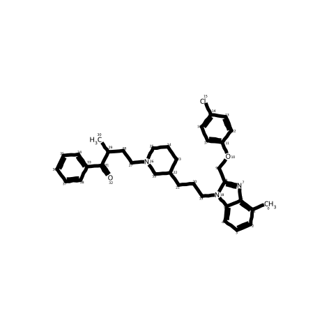 Cc1cccc2c1nc(COc1ccc(Cl)cc1)n2CCCC1CCCN(CCC(C)C(=O)c2ccccc2)C1